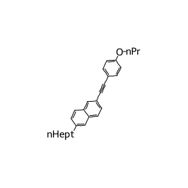 CCCCCCCc1ccc2cc(C#Cc3ccc(OCCC)cc3)ccc2c1